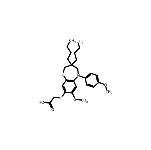 CCCCC1(CCCC)CSc2cc(OCC(=O)O)c(SC)cc2N(c2ccc(OC)cc2)C1